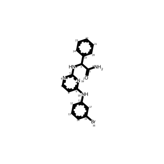 NC(=O)C(Nc1nccc(Nc2cccc(Br)c2)n1)c1ccccc1